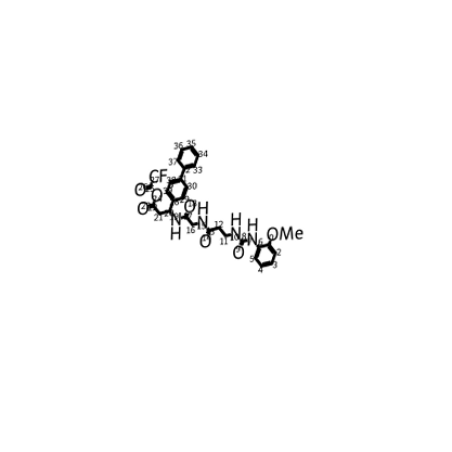 COc1ccccc1NC(=O)NCCC(=O)NCC(=O)NC(CC(=O)OC(=O)C(F)(F)F)c1ccc(-c2ccccc2)cc1